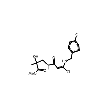 COC(=O)C(C)(O)CNC(=O)/C=C(/Cl)NCc1ccc(Cl)cc1